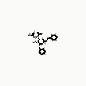 CC(C)N(C[C@H](O)[C@H](Cc1ccccc1)NC(=O)OCc1ccccc1)NC(=O)O